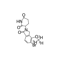 [2H]C([2H])([2H])Oc1c(Br)ccc2c1CN(C1CCC(=O)NC1=O)C2=O